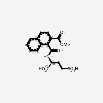 COC(=O)c1ccc2ccccc2c1C(=O)N[C@@H](CCS(=O)(=O)O)C(=O)O